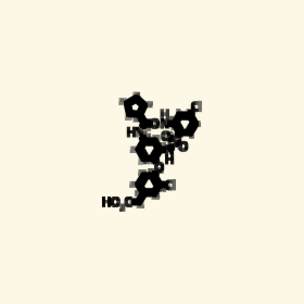 Nc1cc(Cl)ccc1S(=O)(=O)Nc1cc(NC(=O)C2CCCC2)ccc1Oc1ccc(CC(=O)O)cc1Cl